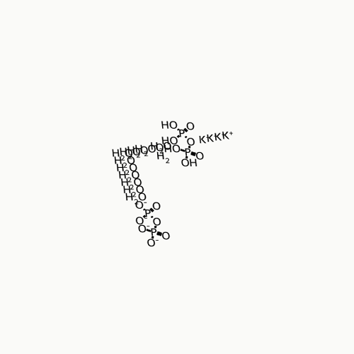 O.O.O.O.O.O.O.O.O.O.O.O.O=P(O)(O)OP(=O)(O)O.O=P([O-])([O-])OP(=O)([O-])[O-].[K+].[K+].[K+].[K+]